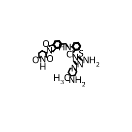 CC1(N)CCN(c2cnc(Sc3cccc(NCc4ccc5c(c4)CN(C4CCC(=O)NC4=O)C5=O)c3Cl)c(N)n2)CC1